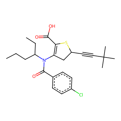 CCCC(CC)N(C(=O)c1ccc(Cl)cc1)C1=C(C(=O)O)SC(C#CC(C)(C)C)C1